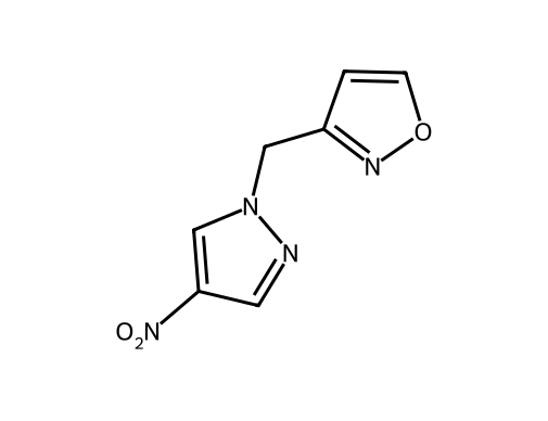 O=[N+]([O-])c1cnn(Cc2ccon2)c1